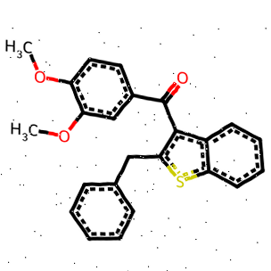 COc1ccc(C(=O)c2c(Cc3ccccc3)sc3ccccc23)cc1OC